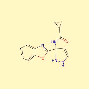 O=C(NC1(c2nc3ccccc3o2)C=CNN1)C1CC1